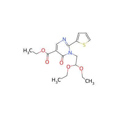 CCOC(=O)c1cnc(-c2cccs2)n(CC(OCC)OCC)c1=O